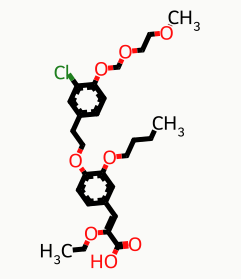 CCCCOc1cc(C=C(OCC)C(=O)O)ccc1OCCc1ccc(OCOCCOC)c(Cl)c1